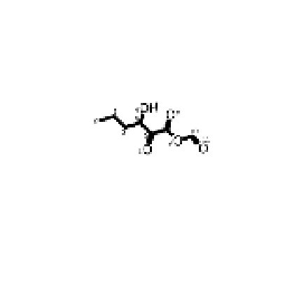 CCCC(O)C(=O)C(=O)OC=O